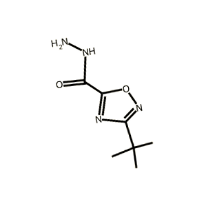 CC(C)(C)c1noc(C(=O)NN)n1